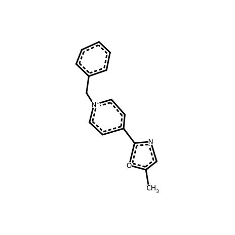 Cc1cnc(-c2cc[n+](Cc3ccccc3)cc2)o1